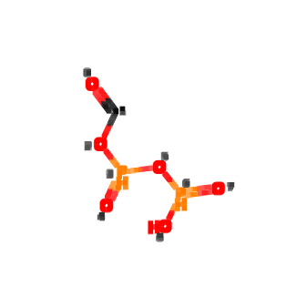 O=CO[PH](=O)O[PH](=O)O